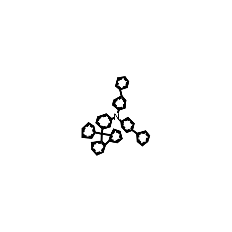 c1ccc(-c2ccc(N(c3ccc(-c4ccccc4)cc3)c3cccc(C4(c5ccccc5)c5ccccc5-c5ccccc54)c3)cc2)cc1